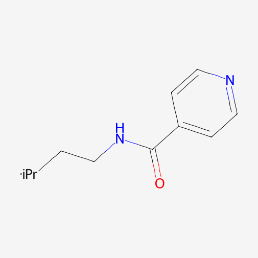 C[C](C)CCNC(=O)c1ccncc1